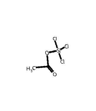 CC(=O)O[Si](Cl)(Cl)Cl